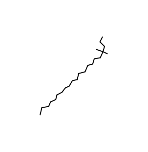 CCCCCCCCCCCCCCCCCC(C)(C)CCC